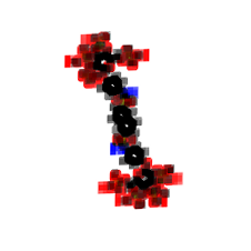 O=S(=O)(O)OC[C@H]1O[C@@H](Oc2ccc(NS(=O)(=O)c3ccc4cc(S(=O)(=O)Nc5ccc(O[C@@H]6O[C@H](COS(=O)(=O)O)[C@@H](OS(=O)(=O)O)[C@H](OS(=O)(=O)O)[C@H]6OS(=O)(=O)O)cc5)ccc4c3)cc2)[C@H](OS(=O)(=O)O)[C@@H](OS(=O)(=O)O)[C@@H]1OS(=O)(=O)O